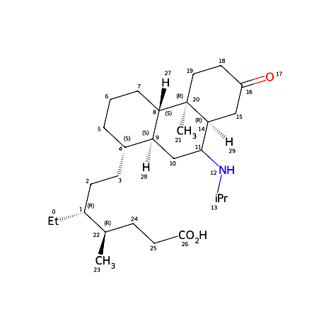 CC[C@H](CC[C@@H]1CCC[C@H]2[C@H]1CC(NC(C)C)[C@@H]1CC(=O)CC[C@@]12C)[C@H](C)CCC(=O)O